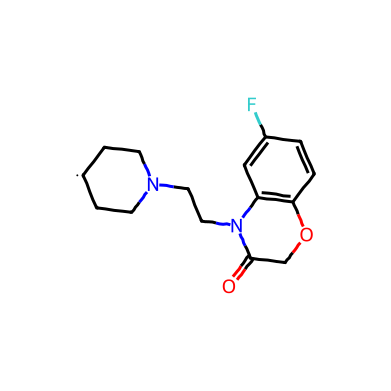 O=C1COc2ccc(F)cc2N1CCN1CC[CH]CC1